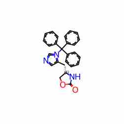 O=C1N[C@@H](Cc2cncn2C(c2ccccc2)(c2ccccc2)c2ccccc2)CO1